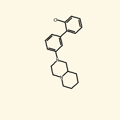 Clc1ccccc1-c1c[c]cc(N2CCN3CCCCC3C2)c1